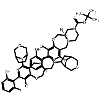 CC(C)(C)OC(=O)N1CCN2Cc3c(N4C5COCC4C(N4CCN6Cc7c(N8C9CCC8COC9)nc(-c8c(O)cccc8F)c(Cl)c7OCC6C4)C5)nc(-c4c(O)cccc4F)c(Cl)c3OC[C@H]2C1